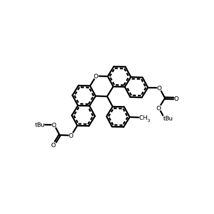 Cc1cccc(C2c3c(ccc4cc(OC(=O)OC(C)(C)C)ccc34)Oc3ccc4cc(OC(=O)OC(C)(C)C)ccc4c32)c1